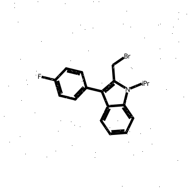 CC(C)n1c(CBr)c(-c2ccc(F)cc2)c2ccccc21